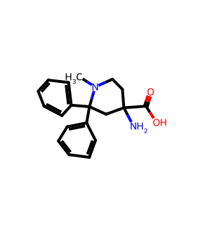 CN1CCC(N)(C(=O)O)CC1(c1ccccc1)c1ccccc1